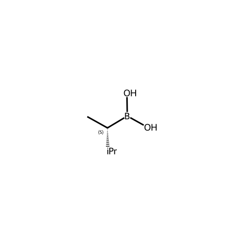 CC(C)[C@H](C)B(O)O